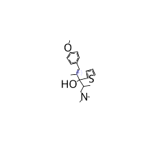 COc1ccc(/C=C(\C)C(O)(c2cccs2)C(C)CN(C)C)cc1